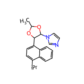 CC1OC(c2ccc(C(C)C)c3ccccc23)C(n2ccnc2)O1